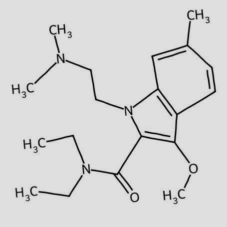 CCN(CC)C(=O)c1c(OC)c2ccc(C)cc2n1CCN(C)C